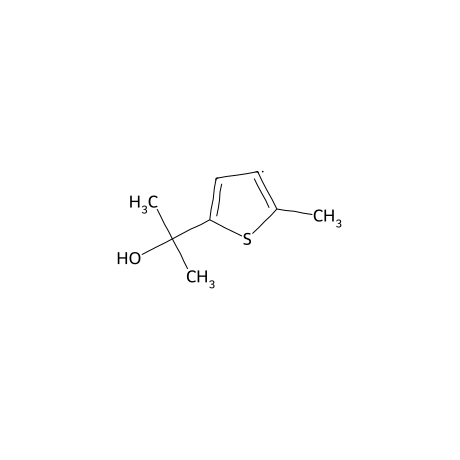 Cc1[c]cc(C(C)(C)O)s1